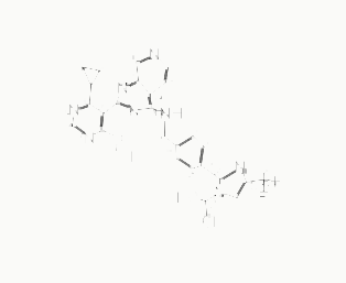 COc1ncnc(C2CC2)c1-c1nc(NCc2ccc(-c3nc(C(F)(F)F)cn3C(C)C)cc2)c2ccncc2n1